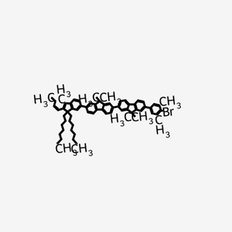 CC/C=C\C1=C(C)c2ccc(-c3ccc4c(c3)C(C)(C)c3cc(-c5ccc6c(c5)C(C)(C)c5cc(-c7cc(C)c(Br)c(C)c7)ccc5-6)ccc3-4)cc2C1(CCCCCCCC)CCCCCCCC